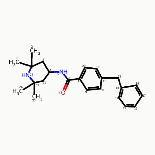 CC1(C)CC(NC(=O)c2ccc(Cc3ccccc3)cc2)CC(C)(C)N1